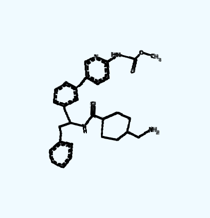 COC(=O)Nc1ccc(-c2cccc(C(Cc3ccccc3)NC(=O)C3CCC(CN)CC3)c2)cn1